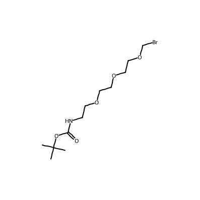 CC(C)(C)OC(=O)NCCOCCOCCOCBr